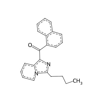 CCCCc1nc(C(=O)c2cccc3ccccc23)c2ccccn12